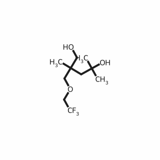 CC(C)(O)CC(C)(CO)COCC(F)(F)F